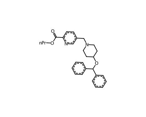 CCCOC(=O)c1ccc(CN2CCC(OC(c3ccccc3)c3ccccc3)CC2)cn1